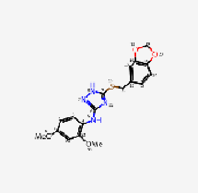 COc1ccc(Nc2n[nH]c(SCc3ccc4c(c3)OCO4)n2)c(OC)c1